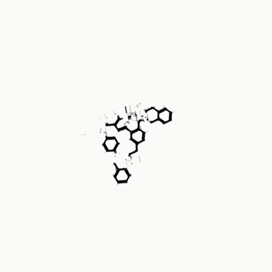 Cc1c(C(=O)N(C)c2ccc(OCc3ccccc3)cc2)cc(-c2cc(CCN)ccc2C(=O)N2Cc3ccccc3C[C@H]2C)n1C